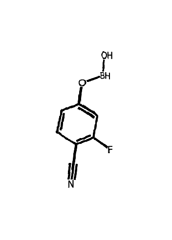 N#Cc1ccc(OBO)cc1F